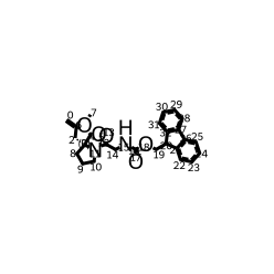 C=CC[C@@]1(C(=O)OC)CCCN1C(=O)CNC(=O)OCC1c2ccccc2-c2ccccc21